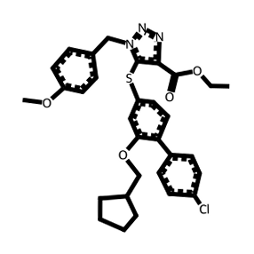 CCOC(=O)c1nnn(Cc2ccc(OC)cc2)c1Sc1ccc(-c2ccc(Cl)cc2)c(OCC2CCCC2)c1